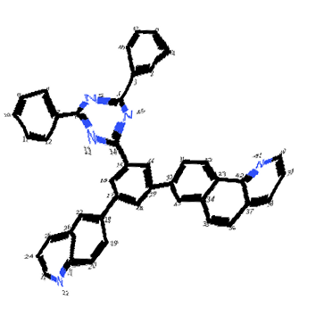 c1ccc(-c2nc(-c3ccccc3)nc(-c3cc(-c4ccc5ncccc5c4)cc(-c4ccc5c(ccc6cccnc65)c4)c3)n2)cc1